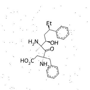 CC[C@H](C[C@@H](O)[C@](C)(N)C(=O)[C@](N)(CC(=O)O)Cc1ccccc1)c1ccccc1